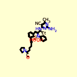 CC[C@H](Nc1nc(N)nc(C)c1C#N)C1=Cc2cccc(C#CCCCC(=C=O)N3CCCC3)c2S(O)(O)N1c1ccccc1